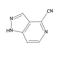 N#Cc1nccc2[nH]ncc12